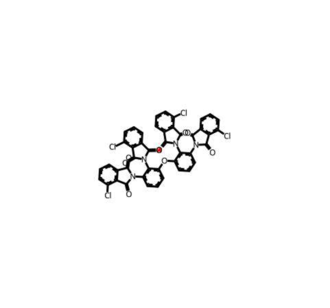 O=C1c2cccc(Cl)c2C(=O)N1c1cccc(Oc2cccc(N3C(=O)c4cccc(Cl)c4C3=O)c2N2C(=O)c3cccc(Cl)c3C2=O)c1N1C(=O)c2cccc(Cl)c2C1=O